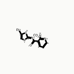 CCC1=C[N]C(=NC(=O)c2cccnc2C(=O)O)S1